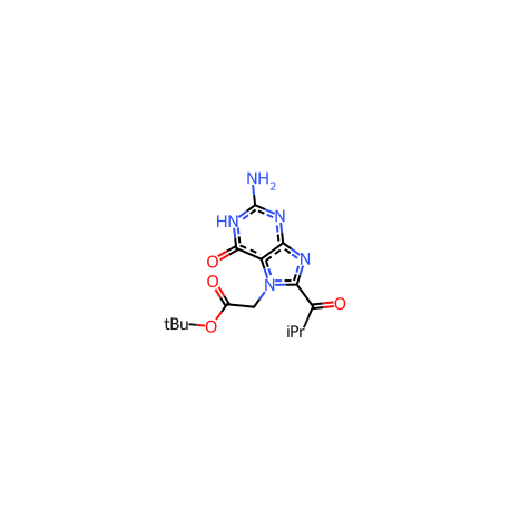 CC(C)C(=O)c1nc2nc(N)[nH]c(=O)c2n1CC(=O)OC(C)(C)C